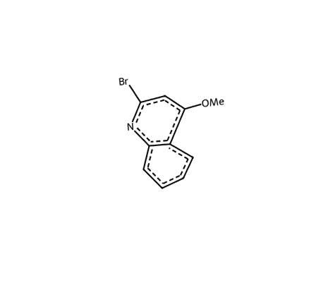 COc1cc(Br)nc2ccccc12